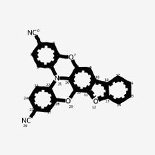 N#Cc1ccc2c(c1)Oc1cc3c(oc4ccccc43)c3c1N2c1ccc(C#N)cc1O3